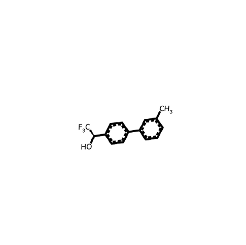 Cc1cccc(-c2ccc([C@@H](O)C(F)(F)F)cc2)c1